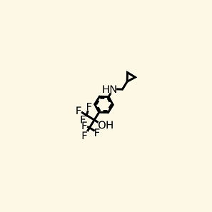 OC(c1ccc(NCC2CC2)cc1)(C(F)(F)F)C(F)(F)F